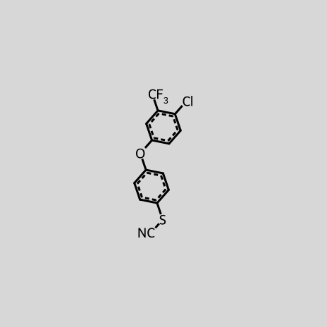 N#CSc1ccc(Oc2ccc(Cl)c(C(F)(F)F)c2)cc1